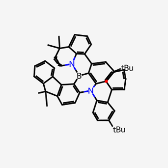 CC(C)(C)c1ccc(N2c3cc(C(C)(C)C)cc4c3B(c3c2ccc2c3-c3ccccc3C2(C)C)N2c3ccccc3C(C)(C)c3cccc-4c32)c(-c2ccccc2)c1